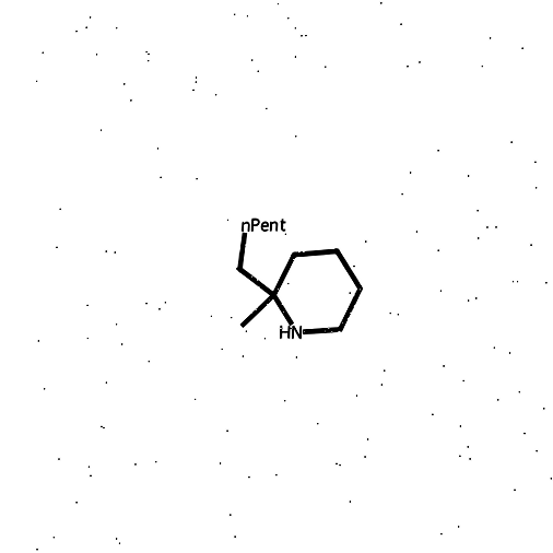 CCCCCCC1(C)CCCCN1